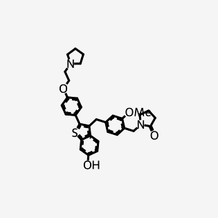 COc1cc(Cc2c(-c3ccc(OCCN4CCCC4)cc3)sc3cc(O)ccc23)ccc1CN1CCCC1=O